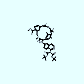 COC(=O)c1ccc2cc1CN(C)C(=O)C(Nc1ccc3c(N(C(=O)OC(C)(C)C)C(=O)OC(C)(C)C)nccc3c1)c1cc(C)c(c(C)c1)C(F)(F)COC(=O)N2